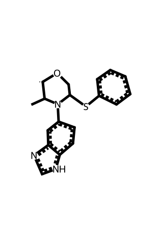 CC1[CH]OCC(Sc2ccccc2)N1c1ccc2[nH]cnc2c1